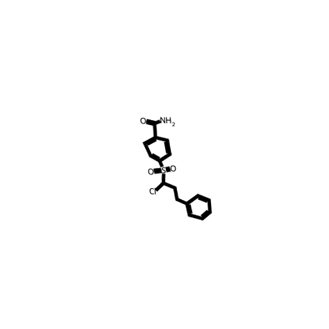 NC(=O)c1ccc(S(=O)(=O)[C](Cl)CCc2ccccc2)cc1